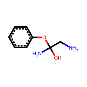 NCC(N)(O)Oc1ccccc1